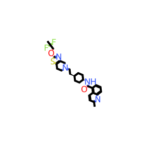 Cc1ccc2c(C(=O)N[C@H]3CC[C@H](CCN4CCc5sc(OCC(C)(F)F)nc5C4)CC3)cccc2n1